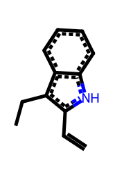 C=Cc1[nH]c2ccccc2c1CC